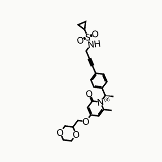 Cc1cc(OCC2COCCO2)cc(=O)n1[C@H](C)c1ccc(C#CCNS(=O)(=O)C2CC2)cc1